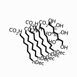 CCCCCCCCCCCCCCCCCC(=O)O.CCCCCCCCCCCCCCCCCC(=O)O.CCCCCCCCCCCCCCCCCC(=O)O.CCCCCCCCCCCCCCCCCC(=O)O.CCCCCCCCCCCCCCCCCC(=O)O.OC[C@@H](O)[C@@H](O)[C@H](O)[C@@H](O)CO